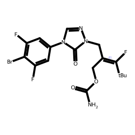 CC(C)(C)/C(F)=C(\COC(N)=O)Cn1ncn(-c2cc(F)c(Br)c(F)c2)c1=O